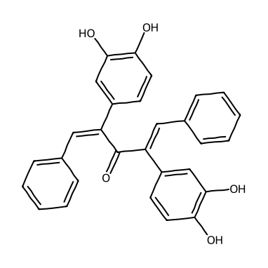 O=C(C(=Cc1ccccc1)c1ccc(O)c(O)c1)C(=Cc1ccccc1)c1ccc(O)c(O)c1